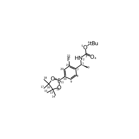 C[C@H](NC(=O)OC(C)(C)C)c1ccc(B2OC(C)(C)C(C)(C)O2)cc1F